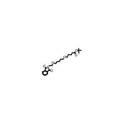 CC(C)(C)OC(=O)CCCCOCCCCCOCCN1C(=O)c2ccccc2C1=O